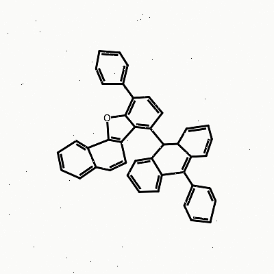 C1=CC2=C(c3ccccc3)c3ccccc3C(c3ccc(-c4ccccc4)c4oc5c6ccccc6ccc5c34)C2C=C1